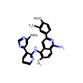 CNc1cc(-c2cccnc2Nc2c(C)ccc3c(N)nc(-c4ccc(OC)c(C(F)(F)F)c4)cc23)ncn1